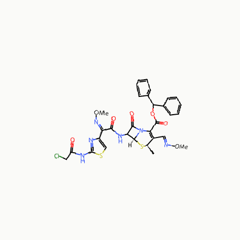 CON=CC1=C(C(=O)OC(c2ccccc2)c2ccccc2)N2C(=O)C(NC(=O)/C(=N\OC)c3csc(NC(=O)CCl)n3)[C@@H]2S[C@@H]1C